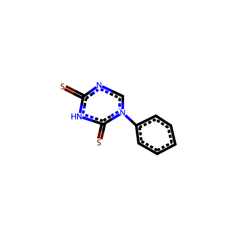 S=c1ncn(-c2ccccc2)c(=S)[nH]1